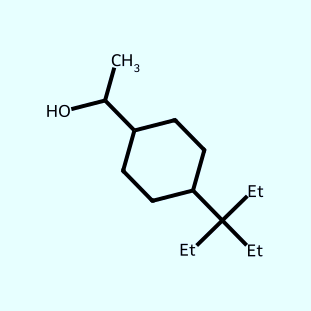 CCC(CC)(CC)C1CCC(C(C)O)CC1